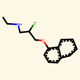 CCNCC(Cl)COc1cccc2ccccc12